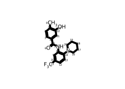 Cc1ccc(C(=O)Nc2cc(C(F)(F)F)ccc2N2CCCCC2)cc1O